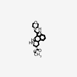 COC(=O)[C@@H]1CN[C@@H]2Cc3c(CN4CCOCC4)[nH]c4cccc(c34)C2C1